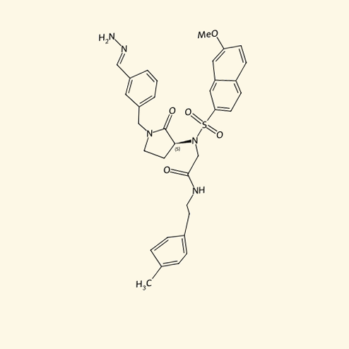 COc1ccc2ccc(S(=O)(=O)N(CC(=O)NCCc3ccc(C)cc3)[C@H]3CCN(Cc4cccc(C=NN)c4)C3=O)cc2c1